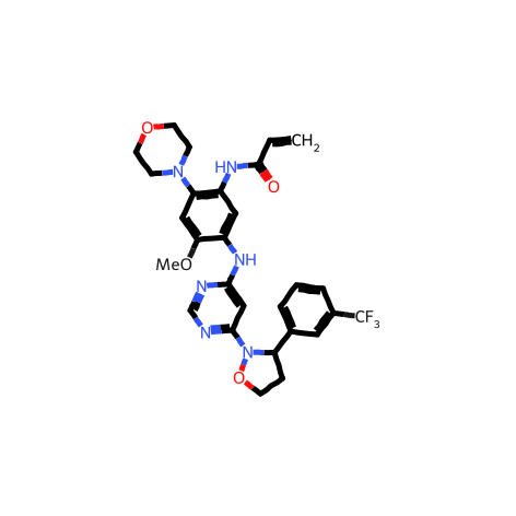 C=CC(=O)Nc1cc(Nc2cc(N3OCCC3c3cccc(C(F)(F)F)c3)ncn2)c(OC)cc1N1CCOCC1